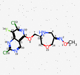 CON=C1CN[C@H](COc2nc(Cl)c(F)c3nc(Cl)ncc23)COC1